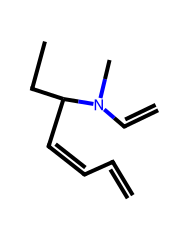 C=C/C=C\C(CC)N(C)C=C